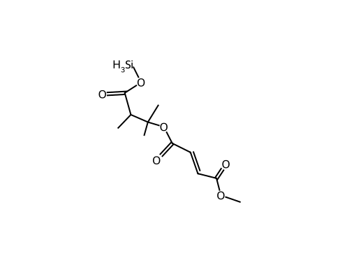 COC(=O)/C=C/C(=O)OC(C)(C)C(C)C(=O)O[SiH3]